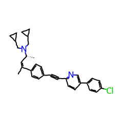 C/C(=C/[C@@H](C)N(CC1CC1)CC1CC1)c1ccc(C#Cc2ccc(-c3ccc(Cl)cc3)cn2)cc1